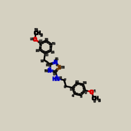 COc1ccc(CCNc2nc(Cc3cccc(OC)c3)ns2)cc1